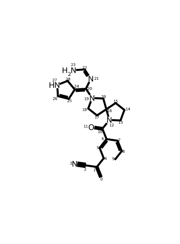 C=C(C#N)C/C=C(\C=C/C)C(=O)N1CCCC12CCN(C(/N=C\N)=C1\C=CNC1)C2